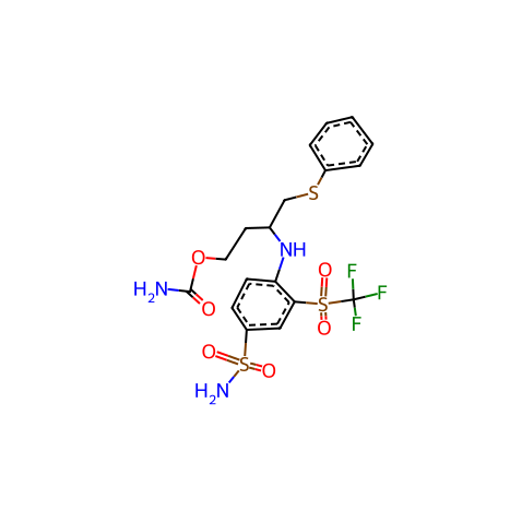 NC(=O)OCCC(CSc1ccccc1)Nc1ccc(S(N)(=O)=O)cc1S(=O)(=O)C(F)(F)F